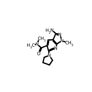 CN(C)C(=O)c1cc2c(N)nn(C)c2nc1N1CCCC1